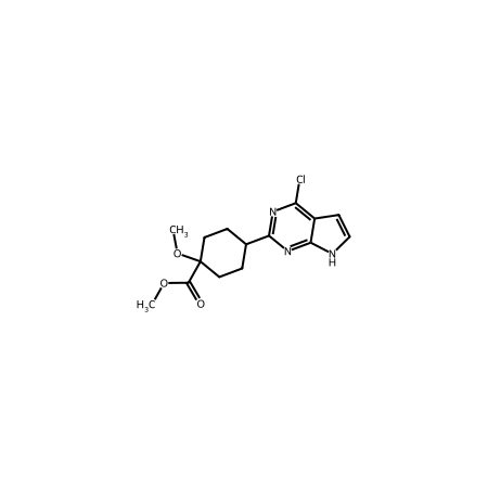 COC(=O)C1(OC)CCC(c2nc(Cl)c3cc[nH]c3n2)CC1